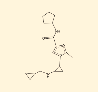 Cc1sc(C(=O)NC2CCCC2)cc1C1CC1NCC1CC1